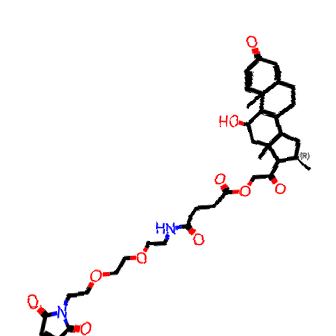 C[C@@H]1CC2C3CCC4=CC(=O)C=CC4(C)C3C(O)CC2(C)C1C(=O)COC(=O)CCC(=O)NCCOCCOCCN1C(=O)C=CC1=O